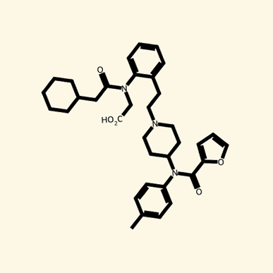 Cc1ccc(N(C(=O)c2ccco2)C2CCN(CCc3ccccc3N(CC(=O)O)C(=O)CC3CCCCC3)CC2)cc1